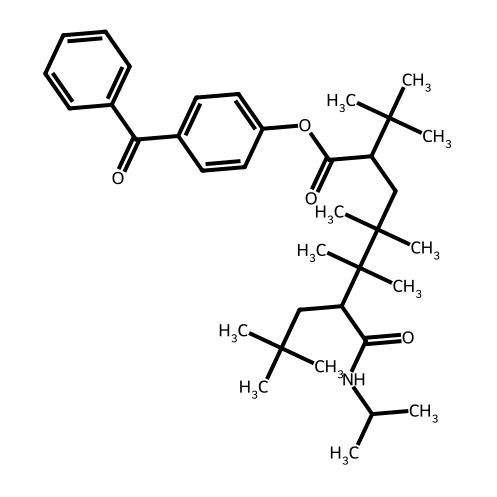 CC(C)NC(=O)C(CC(C)(C)C)C(C)(C)C(C)(C)CC(C(=O)Oc1ccc(C(=O)c2ccccc2)cc1)C(C)(C)C